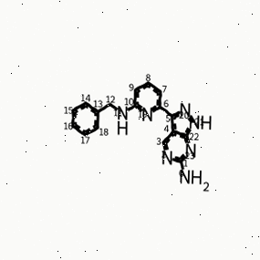 Nc1ncc2c(-c3cccc(NCc4ccccc4)n3)n[nH]c2n1